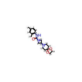 Cc1ccc(NC(=O)N2CC(N3CCC4(CC3)OCCO4)C2)c(C)c1